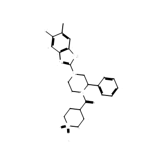 Cc1cc2[nH]c(N3CCN(C(=O)C4CCS(=O)(=O)CC4)C(c4ccccc4)C3)nc2cc1Cl